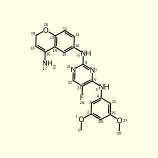 COc1cc(Nc2nc(Nc3ccc4c(c3)C(N)=CCO4)ncc2F)cc(OC)c1